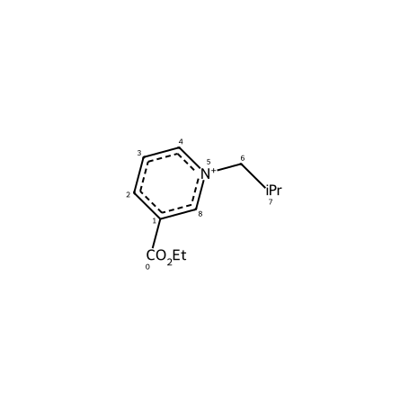 CCOC(=O)c1ccc[n+](CC(C)C)c1